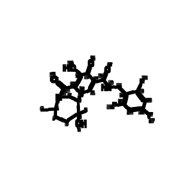 CC1CCC(C)(O)C2CN1C(=O)c1c(O)c(=O)c(C(=O)NCc3c(F)cc(F)cc3F)cn12